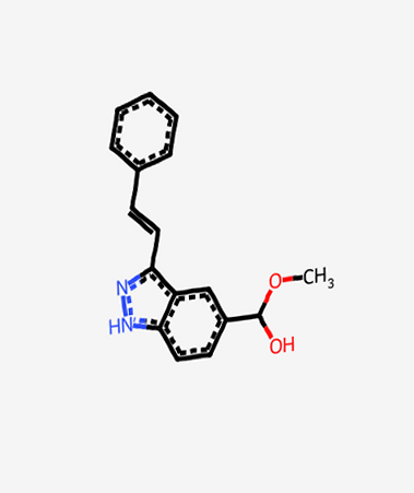 COC(O)c1ccc2[nH]nc(/C=C/c3ccccc3)c2c1